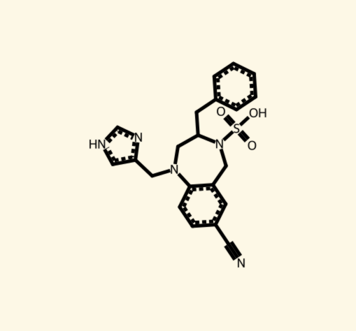 N#Cc1ccc2c(c1)CN(S(=O)(=O)O)C(Cc1ccccc1)CN2Cc1c[nH]cn1